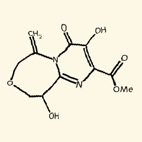 C=C1COCC(O)c2nc(C(=O)OC)c(O)c(=O)n21